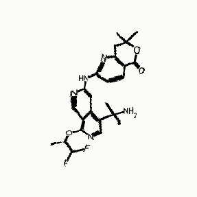 C[C@@H](Oc1ncc(C(C)(C)N)c2cc(Nc3ccc4c(n3)CC(C)(C)OC4=O)ncc12)C(F)F